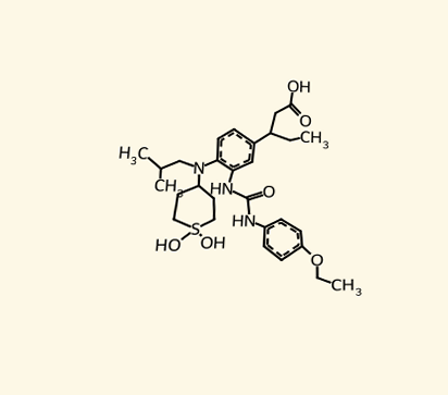 CCOc1ccc(NC(=O)Nc2cc(C(CC)CC(=O)O)ccc2N(CC(C)C)C2CCS(O)(O)CC2)cc1